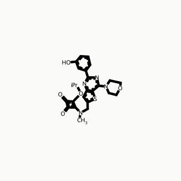 CC(C)Oc1c(N(C)Cc2cc3nc(-c4cccc(O)c4)nc(N4CCOCC4)c3s2)c(=O)c1=O